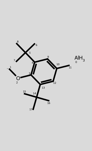 [AlH3].[CH2]Oc1c(C(C)(C)C)cc(C)cc1C(C)(C)C